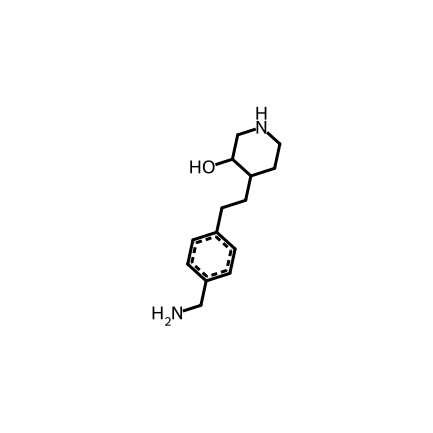 NCc1ccc(CCC2CCNCC2O)cc1